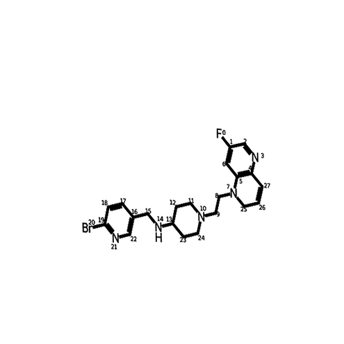 Fc1cnc2c(c1)N(CCN1CCC(NCc3ccc(Br)nc3)CC1)CC=C2